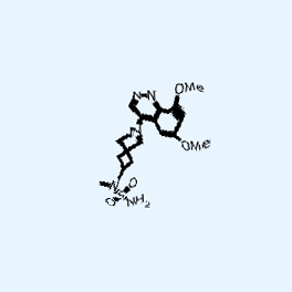 COc1cc(OC)c2nncc(N3CC4(CC(N(C)S(N)(=O)=O)C4)C3)c2c1